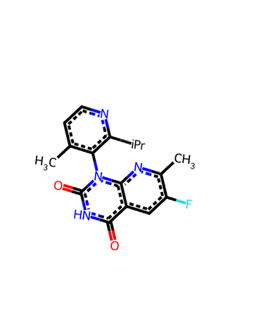 Cc1ccnc(C(C)C)c1-n1c(=O)[nH]c(=O)c2cc(F)c(C)nc21